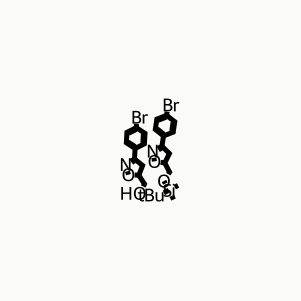 CC(C)(C)[Si](C)(C)OCC1CC(c2ccc(Br)cc2)=NO1.OCC1CC(c2ccc(Br)cc2)=NO1